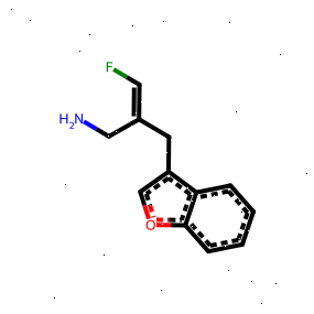 NC/C(=C\F)Cc1coc2ccccc12